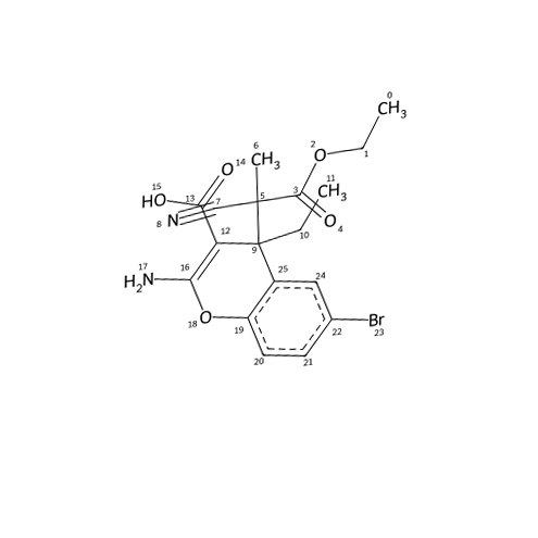 CCOC(=O)C(C)(C#N)C1(CC)C(C(=O)O)=C(N)Oc2ccc(Br)cc21